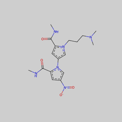 CNC(=O)c1cc(-n2cc([N+](=O)[O-])cc2C(=O)NC)cn1CCCN(C)C